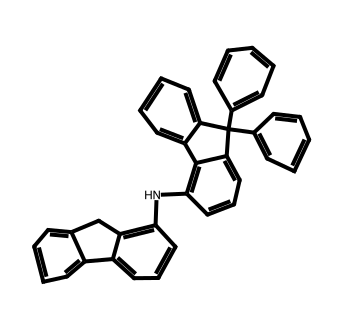 c1ccc(C2(c3ccccc3)c3ccccc3-c3c(Nc4cccc5c4Cc4ccccc4-5)cccc32)cc1